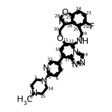 CN1CCN(c2ccc(-c3cc4c(n5cnnc35)NCc3c(F)ccc5c3[C@H](CO5)CO4)cn2)CC1